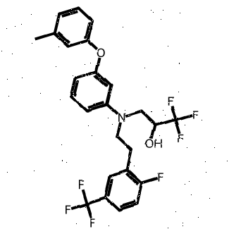 Cc1cccc(Oc2cccc(N(CCc3cc(C(F)(F)F)ccc3F)CC(O)C(F)(F)F)c2)c1